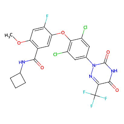 COc1cc(F)c(Oc2c(Cl)cc(-n3nc(C(F)(F)F)c(=O)[nH]c3=O)cc2Cl)cc1C(=O)NC1CCC1